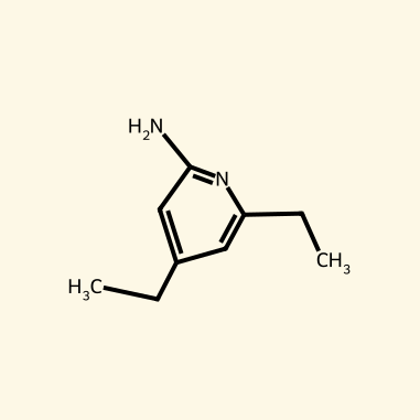 CCc1cc(N)nc(CC)c1